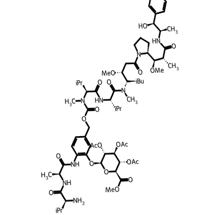 CC[C@H](C)[C@@H]([C@@H](CC(=O)N1CCC[C@H]1[C@H](OC)[C@@H](C)C(=O)N[C@H](C)[C@@H](O)c1ccccc1)OC)N(C)C(=O)[C@@H](NC(=O)[C@H](C(C)C)N(C)C(=O)OCc1ccc(NC(=O)[C@H](C)NC(=O)[C@@H](N)C(C)C)c(O[C@@H]2O[C@H](C(=O)OC)[C@@H](OC(C)=O)[C@H](OC(C)=O)[C@H]2OC(C)=O)c1)C(C)C